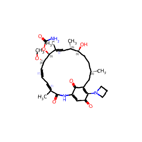 CO[C@H]1/C=C\C=C(/C)C(=O)NC2=CC(=O)C(N3CCC3)=C(C[C@@H](C)CC[C@H](O)[C@@H](C)/C=C(\C)[C@@H]1OC(N)=O)C2=O